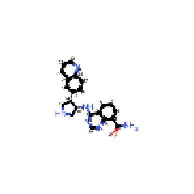 NC(=O)c1cccc2c(N[C@H]3CNC[C@@H]3c3ccc4ncccc4c3)ncnc12